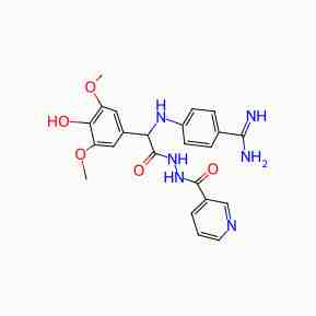 COc1cc(C(Nc2ccc(C(=N)N)cc2)C(=O)NNC(=O)c2cccnc2)cc(OC)c1O